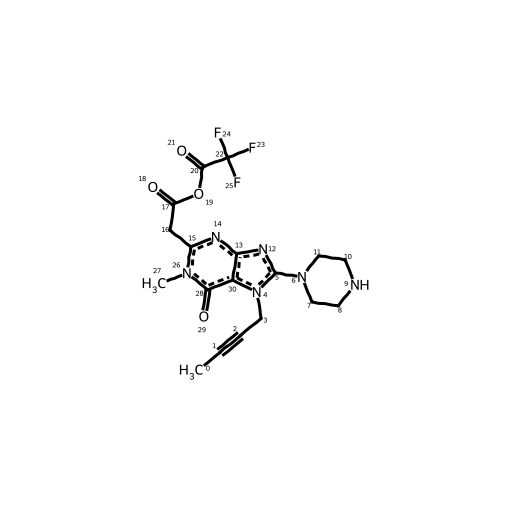 CC#CCn1c(N2CCNCC2)nc2nc(CC(=O)OC(=O)C(F)(F)F)n(C)c(=O)c21